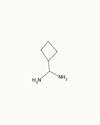 NC(N)C1CCC1